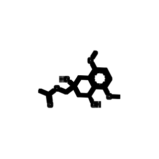 COc1ccc(OC)c2c1CC(O)(COC(C)=O)C[C@@H]2O